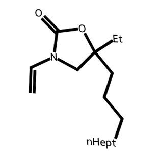 C=CN1CC(CC)(CCCCCCCCCC)OC1=O